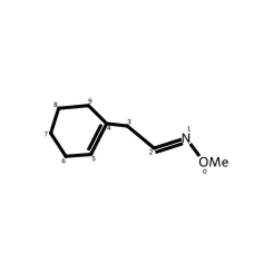 CON=CCC1=CCCCC1